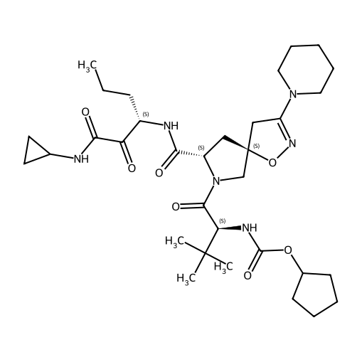 CCC[C@H](NC(=O)[C@@H]1C[C@]2(CC(N3CCCCC3)=NO2)CN1C(=O)[C@@H](NC(=O)OC1CCCC1)C(C)(C)C)C(=O)C(=O)NC1CC1